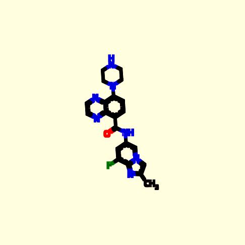 Cc1cn2cc(NC(=O)c3ccc(N4CCNCC4)c4nccnc34)cc(F)c2n1